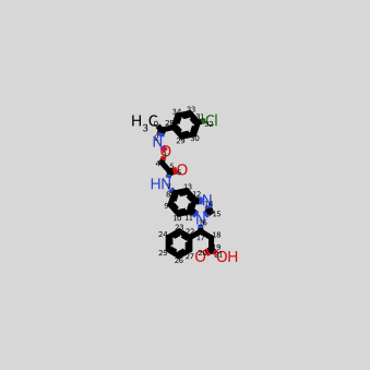 CC(=NOCC(=O)Nc1ccc2c(c1)ncn2C(CC(=O)O)c1ccccc1)c1ccc(Cl)cc1